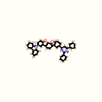 c1ccc(-c2cc(-c3ccc4oc5c(ccc6c7cc(-n8c9ccccc9c9ccccc98)ccc7oc65)c4c3)nc(-c3ccccc3)n2)cc1